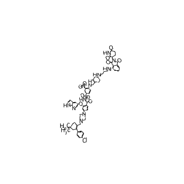 CC1(C)CCC(CN2CCN(c3ccc(C(=O)NS(=O)(=O)c4ccc(NCC5CCC(NCCCNc6cccc7c6C(=O)N(C6CCC(=O)NC6=O)C7=O)CC5)c([N+](=O)[O-])c4)c(Oc4cnc5[nH]ccc5c4)c3)CC2)=C(c2ccc(Cl)cc2)C1